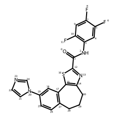 O=C(Nc1cc(F)c(F)cc1F)c1nc2c(s1)-c1cc(-n3ccnc3)ccc1CCC2